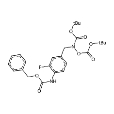 CC(C)(C)OC(=O)ON(Cc1ccc(NC(=O)OCc2ccccc2)c(F)c1)C(=O)OC(C)(C)C